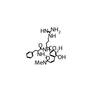 CNC(=O)/C=C\c1ccccc1O.N=C(N)NCCC[C@H](NC(=O)[C@@H](N)Cc1ccccc1)C(=O)O